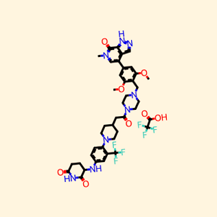 COc1cc(-c2cn(C)c(=O)c3[nH]ncc23)cc(OC)c1CN1CCN(C(=O)CC2CCN(c3ccc(NC4CCC(=O)NC4=O)cc3C(F)(F)F)CC2)CC1.O=C(O)C(F)(F)F